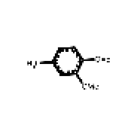 COc1cc(C)ccc1OC(C)=O